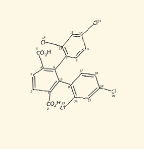 O=C(O)c1ccc(C(=O)O)c(-c2ccc(Cl)cc2Cl)c1-c1ccc(Cl)cc1Cl